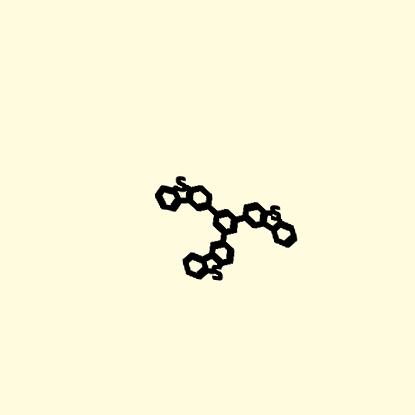 C1=CCC2C(=C1)Sc1ccc(-c3cc(C4=Cc5c(sc6ccccc56)CC4)cc(-c4ccc5sc6c(c5c4)=CCCC=6)c3)cc12